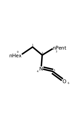 CCCCCCCC(CCCCC)N=C=O